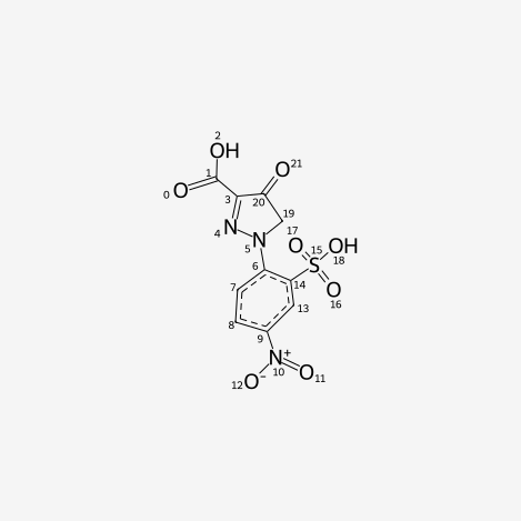 O=C(O)C1=NN(c2ccc([N+](=O)[O-])cc2S(=O)(=O)O)CC1=O